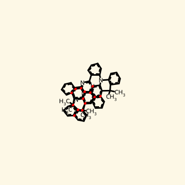 CC1(C)c2ccccc2C(c2ccccc2-c2nc(-c3ccccc3N3c4ccccc4C(C)(C)c4ccccc43)nc(-c3ccccc3N3c4ccccc4C(C)(C)c4ccccc43)n2)c2ccccc21